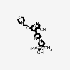 CC(C)OC(=O)NC1(C)CCN(c2ccc(-c3cc(OCCN4CCOCC4)cn4ncc(C#N)c34)cn2)CC1